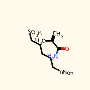 C=C(C)C(N)=O.CCCCCCCCCCCCCCS(=O)(=O)O